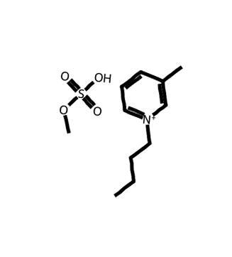 CCCC[n+]1cccc(C)c1.COS(=O)(=O)O